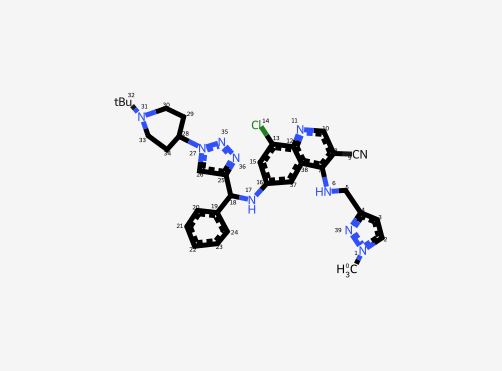 Cn1ccc(CNc2c(C#N)cnc3c(Cl)cc(NC(c4ccccc4)c4cn(C5CCN(C(C)(C)C)CC5)nn4)cc23)n1